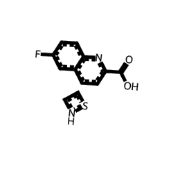 O=C(O)c1ccc2cc(F)ccc2n1.c1cs[nH]1